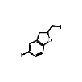 ICC1Cc2cc(I)ccc2O1